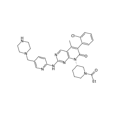 CCC(=O)N1CCC[C@H](n2c(=O)c(-c3ccccc3Cl)c(C)c3cnc(Nc4ccc(CN5CCNCC5)cn4)nc32)C1